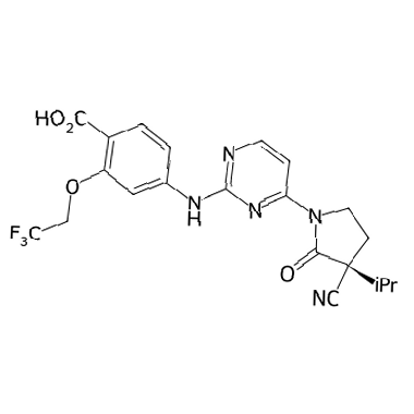 CC(C)[C@]1(C#N)CCN(c2ccnc(Nc3ccc(C(=O)O)c(OCC(F)(F)F)c3)n2)C1=O